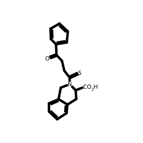 O=C(CCC(=S)N1Cc2ccccc2CC1C(=O)O)c1ccccc1